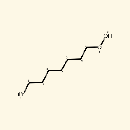 CC(C)CCCCCCCOO